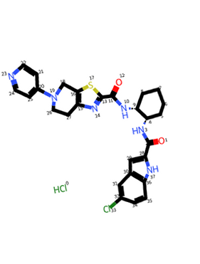 Cl.O=C(N[C@H]1CCCC[C@H]1NC(=O)c1nc2c(s1)CN(c1ccncc1)CC2)c1cc2cc(Cl)ccc2[nH]1